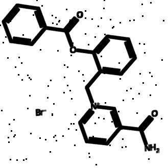 NC(=O)c1ccc[n+](Cc2ccccc2OC(=O)c2ccccc2)c1.[Br-]